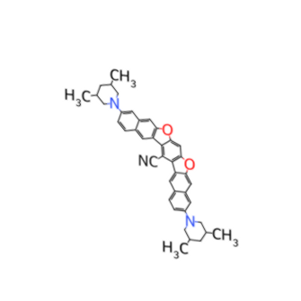 CC1CC(C)CN(c2ccc3cc4c(cc3c2)oc2cc3oc5cc6cc(N7CC(C)CC(C)C7)ccc6cc5c3c(C#N)c24)C1